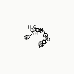 Cc1cc2nn(CC3CCN(C(=O)c4ccc(S(F)(F)(F)(F)F)cc4)CC3)cc2cc1C(=O)NCCN1CCOCC1